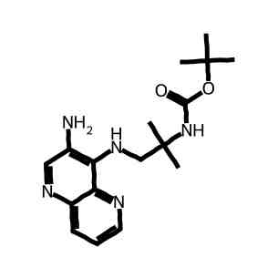 CC(C)(CNc1c(N)cnc2cccnc12)NC(=O)OC(C)(C)C